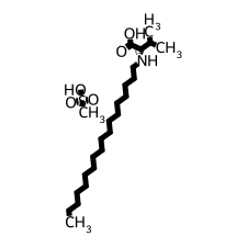 CCCCCCCCCCCCCCCCCCN[C@H](C(=O)O)C(C)C.CS(=O)(=O)O